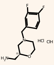 Cl.Cl.NC[C@H]1CN(Cc2ccc(F)c(F)c2)CCO1